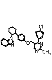 Cc1ncc(COc2ccc(C3CCCCC3n3cnc4ccccc43)cc2)c(-c2ccc(Cl)cc2)n1